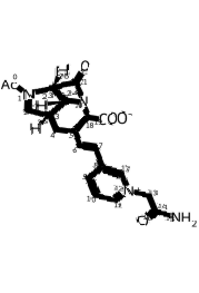 CC(=O)N1C[C@H]2CC(/C=C/c3ccc[n+](CC(N)=O)c3)=C(C(=O)[O-])N3C(=O)[C@@H]1[C@@H]23